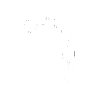 O=C(CCN1C=C(c2ccccc2)NC1)N1CCN(c2ccccc2)CC1